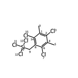 Cc1c(Cl)c(C)c(Cl)c(C[Si](Cl)(Cl)Cl)c1Cl